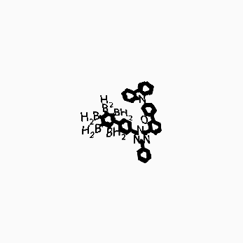 Bc1c(B)c(B)c(-c2ccc(-c3nc(-c4ccccc4)nc(-c4cccc5c4oc4cc(-n6c7ccccc7c7ccccc76)ccc45)n3)cc2)c(B)c1B